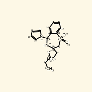 CCCC[C@@]1(CC)CS(=O)(=O)c2ccccc2[C@H](n2cccc2)N1